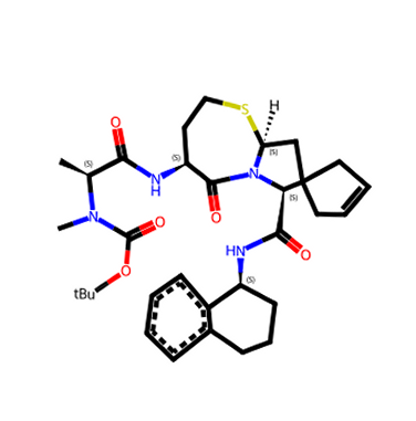 C[C@@H](C(=O)N[C@H]1CCS[C@H]2CC3(CC=CC3)[C@@H](C(=O)N[C@H]3CCCc4ccccc43)N2C1=O)N(C)C(=O)OC(C)(C)C